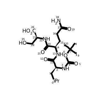 CC(C)C[C@H](NC(=O)OC(C)(I)I)C(=O)N[C@H](CCC(N)=O)C(=O)N[C@@H](CO)C(=O)O